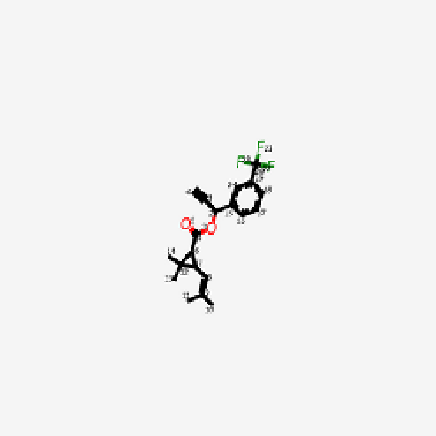 C#CC(OC(=O)C1C(C=C(C)C)C1(C)C)c1cccc(C(F)(F)F)c1